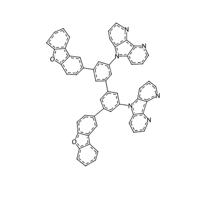 c1ccc2c(c1)oc1ccc(-c3cc(-c4cc(-c5ccc6oc7ccccc7c6c5)cc(-n5c6cccnc6c6ncccc65)c4)cc(-n4c5cccnc5c5ncccc54)c3)cc12